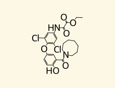 CCOC(=O)C(=O)Nc1cc(Cl)c(Oc2ccc(O)c(C(=O)N3CCCCCCC3)c2)c(Cl)c1